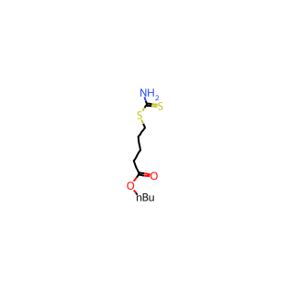 CCCCOC(=O)CCCCSC(N)=S